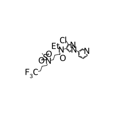 CCN(C(=O)CCN(CCCC(F)(F)F)S(C)(=O)=O)c1cn(-c2cccnc2)nc1Cl